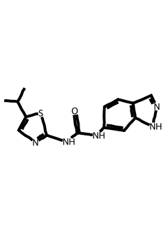 CC(C)c1cnc(NC(=O)Nc2ccc3cn[nH]c3c2)s1